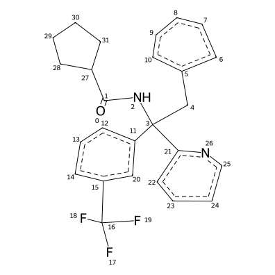 O=C(NC(Cc1ccccc1)(c1cccc(C(F)(F)F)c1)c1ccccn1)C1CCCC1